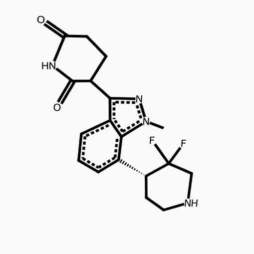 Cn1nc(C2CCC(=O)NC2=O)c2cccc([C@H]3CCNCC3(F)F)c21